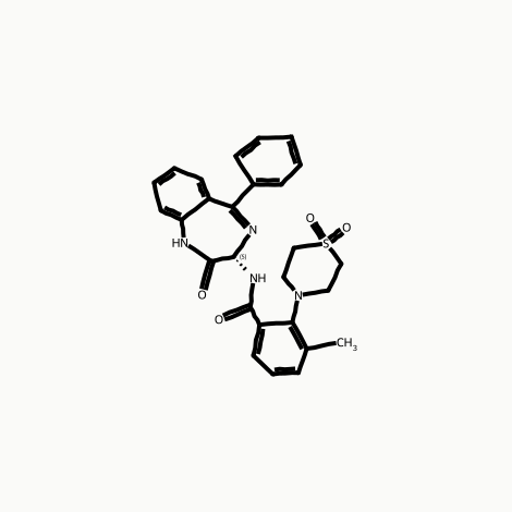 Cc1cccc(C(=O)N[C@H]2N=C(c3ccccc3)c3ccccc3NC2=O)c1N1CCS(=O)(=O)CC1